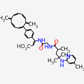 C=c1ccccc(=C)c(-c2ccc(/C(=C\C(=O)O)NC(=O)CNC(=O)C(C)CC(C)(C)Nc3cc(C)ccn3)cc2)ccc1